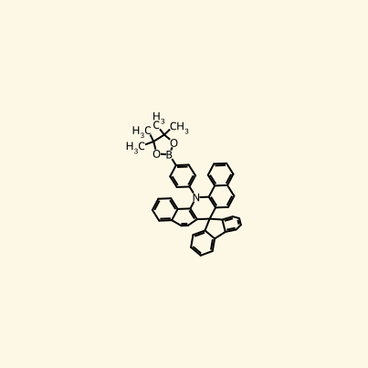 CC1(C)OB(c2ccc(N3c4c(ccc5ccccc45)C4(c5ccccc5-c5ccccc54)c4ccc5ccccc5c43)cc2)OC1(C)C